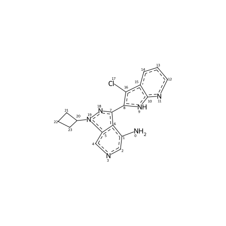 Nc1cncc2c1c(-c1[nH]c3ncccc3c1Cl)nn2C1CCC1